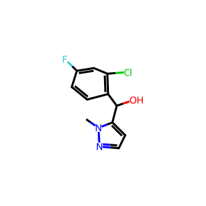 Cn1nccc1C(O)c1ccc(F)cc1Cl